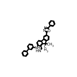 CC1(C)c2ccc(-c3nnc(-c4ccccc4)o3)cc2-c2ccc(Nc3cccc(-c4ccccc4)c3)c(C=N)c21